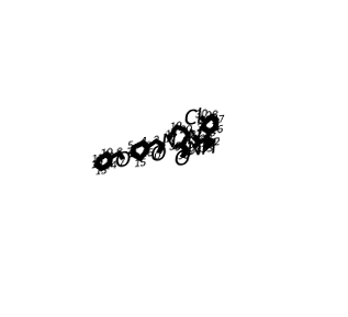 O=C(Cc1ccc(OCc2ccccc2)cc1)N1CCCc2nc(C3(c4cccc(Cl)c4)CC3)[nH]c(=O)c2C1